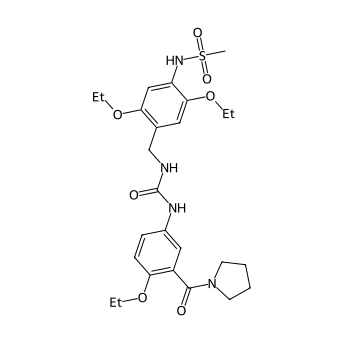 CCOc1cc(NS(C)(=O)=O)c(OCC)cc1CNC(=O)Nc1ccc(OCC)c(C(=O)N2CCCC2)c1